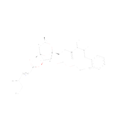 C=C(CC[C@]12O[C@H](C(=O)O)[C@@H](C(=O)O)[C@](C(=O)O)(O1)[C@H](OC(=O)/C=C/C(C)CC(C)CC)[C@H]2OCOCCOC)C(OC(C)=O)C(C)Cc1ccccc1